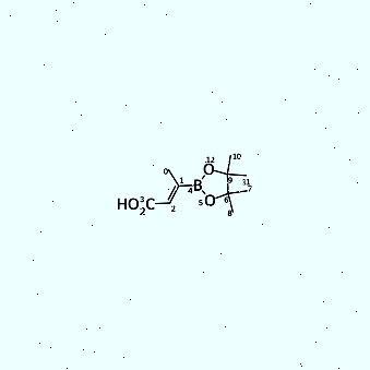 CC(=CC(=O)O)B1OC(C)(C)C(C)(C)O1